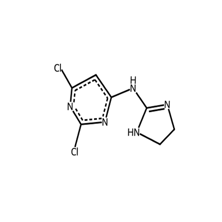 Clc1cc(NC2=NCCN2)nc(Cl)n1